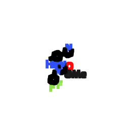 COc1cn(Cc2ccc(F)c(F)c2)c(Nc2cc(-c3cccnc3)ccc2C)nc1=O